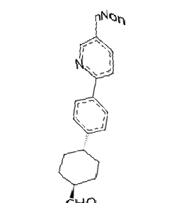 CCCCCCCCCc1ccc(-c2ccc([C@H]3CC[C@H](C=O)CC3)cc2)nc1